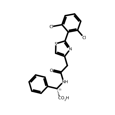 O=C(Cc1csc(-c2c(Cl)cccc2Cl)n1)N[C@H](C(=O)O)c1ccccc1